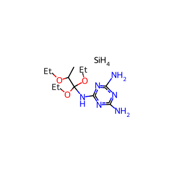 CCOC(C)C(Nc1nc(N)nc(N)n1)(OCC)OCC.[SiH4]